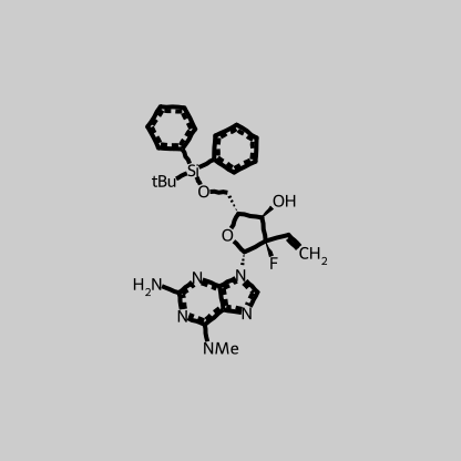 C=C[C@@]1(F)[C@H](O)[C@@H](CO[Si](c2ccccc2)(c2ccccc2)C(C)(C)C)O[C@H]1n1cnc2c(NC)nc(N)nc21